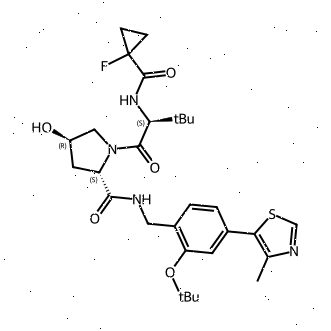 Cc1ncsc1-c1ccc(CNC(=O)[C@@H]2C[C@@H](O)CN2C(=O)[C@@H](NC(=O)C2(F)CC2)C(C)(C)C)c(OC(C)(C)C)c1